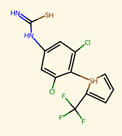 N=C(S)Nc1cc(Cl)c([SH]2C=CC=C2C(F)(F)F)c(Cl)c1